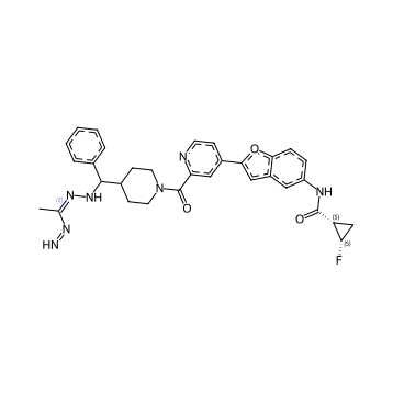 C/C(N=N)=N/NC(c1ccccc1)C1CCN(C(=O)c2cc(-c3cc4cc(NC(=O)[C@@H]5C[C@@H]5F)ccc4o3)ccn2)CC1